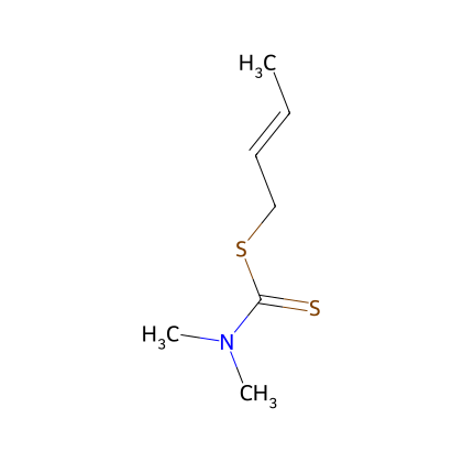 C/C=C/CSC(=S)N(C)C